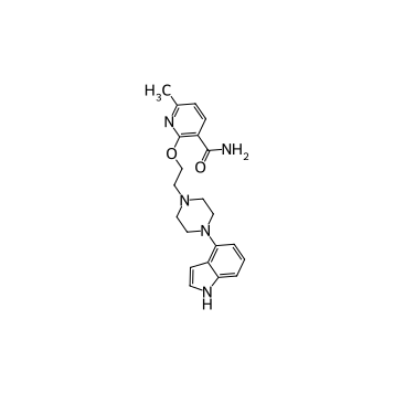 Cc1ccc(C(N)=O)c(OCCN2CCN(c3cccc4[nH]ccc34)CC2)n1